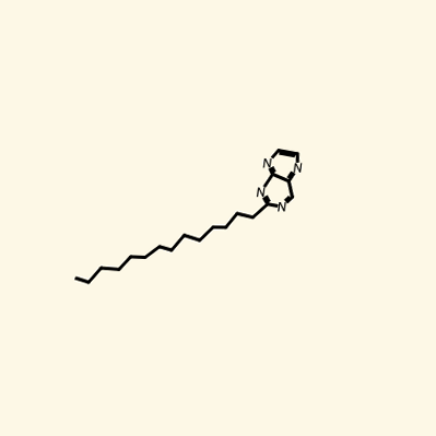 CCCCCCCCCCCCCCc1ncc2nccnc2n1